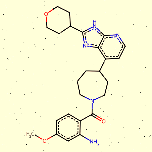 Nc1cc(OC(F)(F)F)ccc1C(=O)N1CCCC(c2ccnc3[nH]c(C4CCOCC4)nc23)CC1